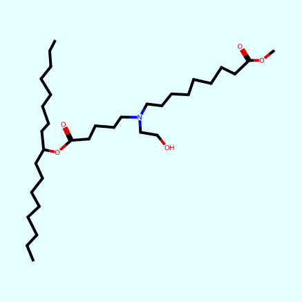 CCCCCCCCC(CCCCCCCC)OC(=O)CCCCN(CCO)CCCCCCCCC(=O)OC